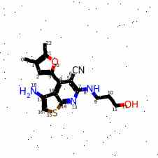 Cc1cc(-c2c(C#N)c(NCCCO)nc3scc(N)c23)oc1C